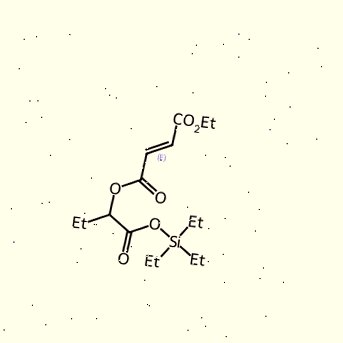 CCOC(=O)/C=C/C(=O)OC(CC)C(=O)O[Si](CC)(CC)CC